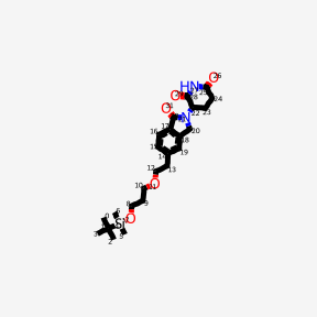 CC(C)(C)[Si](C)(C)OCCCOCCc1ccc2c(c1)CN(C1CCC(=O)NC1=O)C2=O